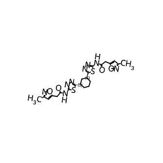 Cc1cc(CC(=O)Nc2nnc([C@H]3CCC[C@H](c4nnc(NC(=O)Cc5cc(C)no5)s4)C3)s2)on1